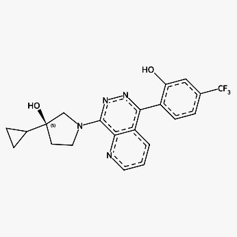 Oc1cc(C(F)(F)F)ccc1-c1nnc(N2CC[C@](O)(C3CC3)C2)c2ncccc12